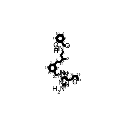 CC(CCNC(=O)c1ccccc1O)CCc1cccc(Cn2nnc3c(-c4ccco4)nc(N)nc32)c1